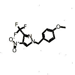 COc1ccc(Cn2cc([N+](=O)[O-])c(C(F)(F)F)n2)cc1